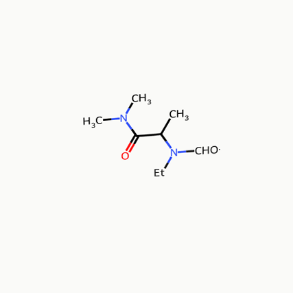 CCN([C]=O)C(C)C(=O)N(C)C